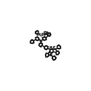 CC1(C)c2ccccc2-c2ccc(N(c3cccc(-c4ccc(-c5cc6c(c7c5c5ccccc5n7-c5ccccc5)-c5ccccc5C6(C)c5ccccc5)cc4)c3)c3cc(-c4ccccc4)cc(-c4ccccc4)c3)cc21